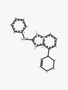 C1=CC(c2cccn3nc(Nc4ccccc4)nc23)CCC1